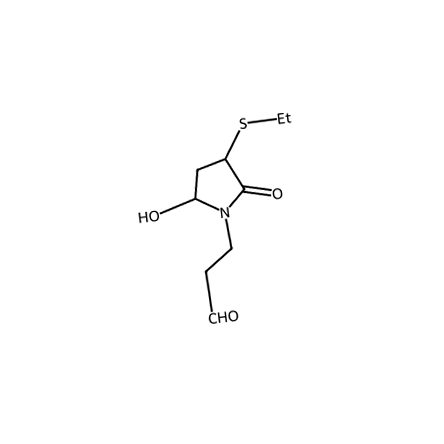 CCSC1CC(O)N(CCC=O)C1=O